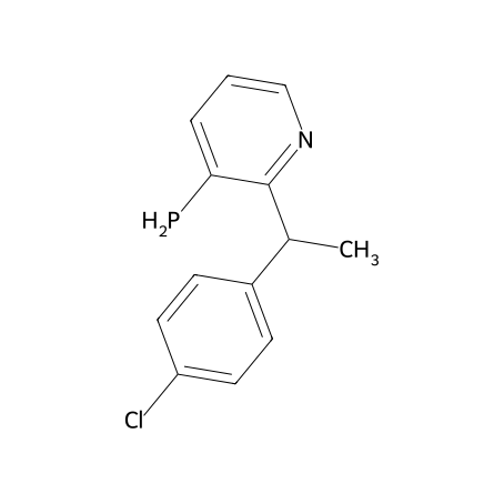 CC(c1ccc(Cl)cc1)c1ncccc1P